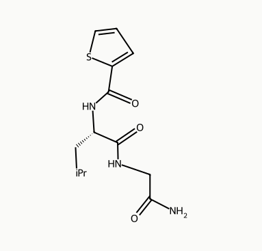 CC(C)C[C@H](NC(=O)c1cccs1)C(=O)NCC(N)=O